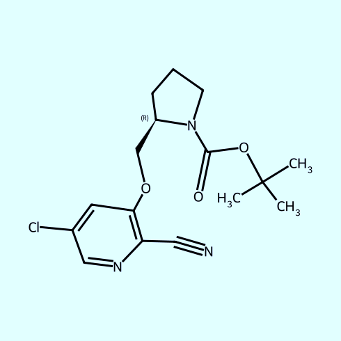 CC(C)(C)OC(=O)N1CCC[C@@H]1COc1cc(Cl)cnc1C#N